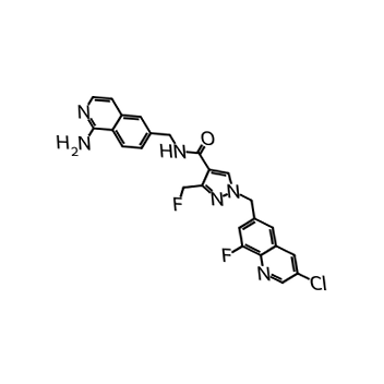 Nc1nccc2cc(CNC(=O)c3cn(Cc4cc(F)c5ncc(Cl)cc5c4)nc3CF)ccc12